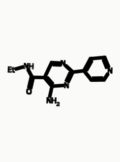 CCNC(=O)c1cnc(-c2ccncc2)nc1N